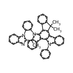 CCc1nc2ccccc2n1-c1ccccc1-n1c2ccccc2c2c1c1c(c3c4ccccc4n(-c4ccccc4)c32)C(C)(C)c2ccccc2-1